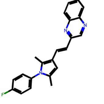 Cc1cc(C=Cc2cnc3ccccc3n2)c(C)n1-c1ccc(F)cc1